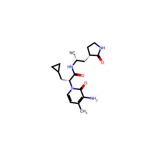 Cc1ccn([C@H](CC2CC2)C(=O)N[C@H](C#N)C[C@@H]2CCNC2=O)c(=O)c1N